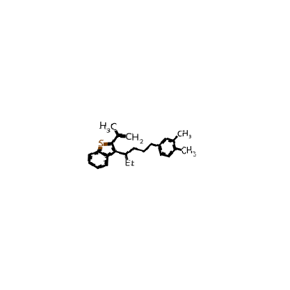 C=C(C)c1sc2ccccc2c1C(CC)CCCc1ccc(C)c(C)c1